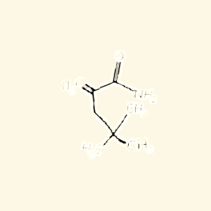 C=C(CC(C)(C)C)C(N)=O